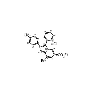 CCOC(=O)c1cc(Br)c2nc(-c3ccc(Cl)cc3)c(-c3ccccc3Cl)n2c1